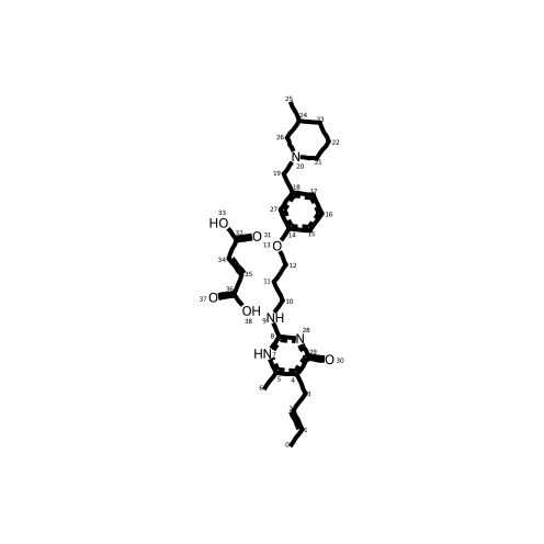 CC=CCc1c(C)[nH]c(NCCCOc2cccc(CN3CCCC(C)C3)c2)nc1=O.O=C(O)C=CC(=O)O